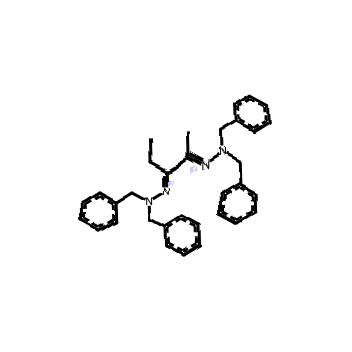 CCC(=N\N(Cc1ccccc1)Cc1ccccc1)/C(C)=N/N(Cc1ccccc1)Cc1ccccc1